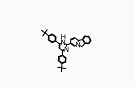 CC(C)(C)c1ccc(C2=CC(c3ccc(C(C)(C)C)cc3)=NC(C3=CN4Cc5ccccc5C4C=C3)N2)cc1